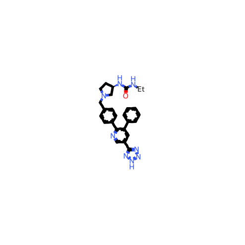 CCNC(=O)N[C@@H]1CCN(Cc2ccc(-c3ncc(-c4nn[nH]n4)cc3-c3ccccc3)cc2)C1